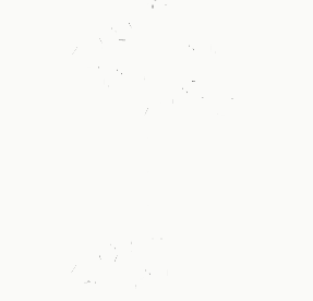 CCCCCC/C=C\COC(=O)CN(CC(=O)OC(CCCCC)CCCCCCN(C)CCSC(=O)N(CC(=O)OC/C=C\CCCCCCCCCCCCCC(CCCCCCCC)OC(=O)CN(CC(=O)OC/C=C\CCCCCC)C(=O)SCCN(C)C)CC(=O)OC(CCCCCCCC)CCCCCCCC)C(=O)SCCN(C)C